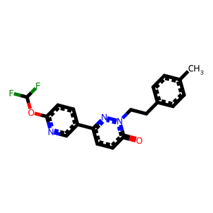 Cc1ccc(CCn2nc(-c3ccc(OC(F)F)nc3)ccc2=O)cc1